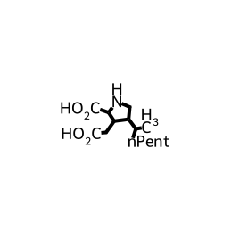 CCCCCC(C)C1CNC(C(=O)O)C1CC(=O)O